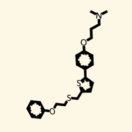 CN(C)CCCOc1ccc(-c2ccc(CSCCOc3ccccc3)s2)cc1